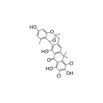 Cc1cc(O)cc2c1C1OC(C)(Cc3cc4c(c(O)c31)C(=O)c1c(O)c(Cl)c(O)c(Cl)c1C4(C)C)O2